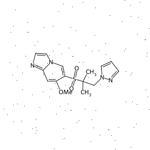 COc1cc2nccn2cc1S(=O)(=O)C(C)(C)Cn1cccn1